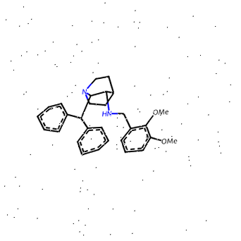 COc1cccc(CNC2C3CCN(CC3)C2C(c2ccccc2)c2ccccc2)c1OC